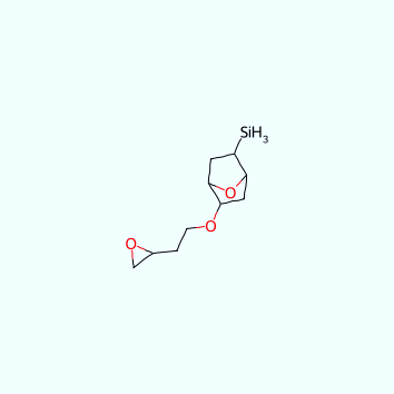 [SiH3]C1CC2OC1CC2OCCC1CO1